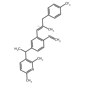 C=Nc1ccc(C(C)c2ccc(C)nc2C)cc1/C=C(\C)Cc1ccc(C(F)(F)F)cc1